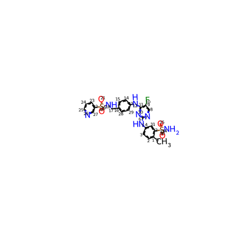 Cc1ccc(Nc2ncc(F)c(Nc3ccc(CNS(=O)(=O)c4cccnc4)cc3)n2)cc1S(N)(=O)=O